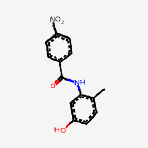 Cc1ccc(O)cc1NC(=O)c1ccc([N+](=O)[O-])cc1